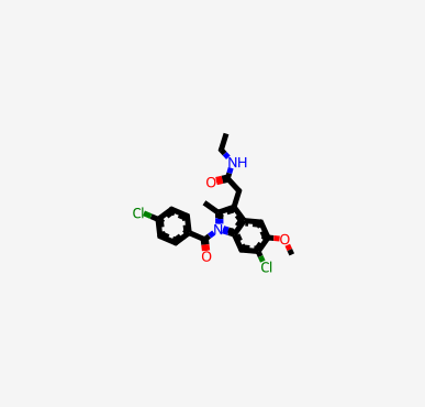 CCNC(=O)Cc1c(C)n(C(=O)c2ccc(Cl)cc2)c2cc(Cl)c(OC)cc12